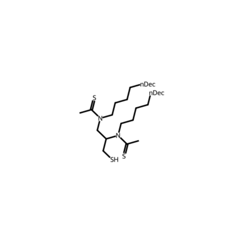 CCCCCCCCCCCCCCN(CC(CS)N(CCCCCCCCCCCCCC)C(C)=S)C(C)=S